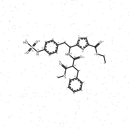 CCOC(=O)c1csc(C(Cc2ccc(NS(=O)(=O)O)cc2)NC(=O)C(Cc2ccccc2)C(=O)OC)n1